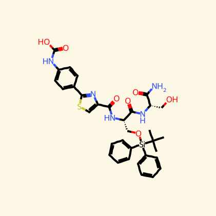 CC(C)(C)[Si](OC[C@H](NC(=O)c1csc(-c2ccc(NC(=O)O)cc2)n1)C(=O)N[C@@H](CO)C(N)=O)(c1ccccc1)c1ccccc1